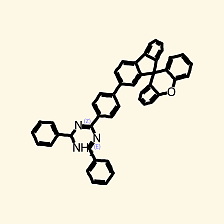 NC(/N=C(\N=C\c1ccccc1)c1ccc(-c2ccc3c(c2)C2(c4ccccc4Oc4ccccc42)c2ccccc2-3)cc1)c1ccccc1